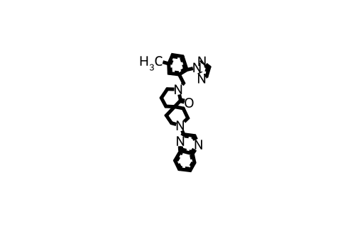 Cc1ccc(-n2nccn2)c(CN2CCCC3(CCN(c4cnc5ccccc5n4)CC3)C2=O)c1